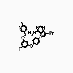 Cc1ccc(COc2cc(F)cc(Oc3ccc(-n4cc(C(C)C)c5ncnc(N)c54)cc3)c2)cn1